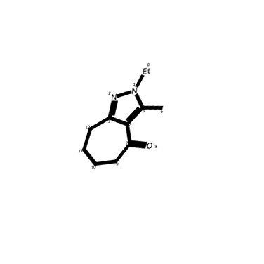 CCn1nc2c(c1C)C(=O)CCCC2